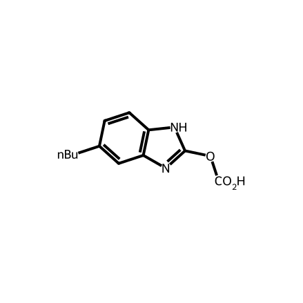 CCCCc1ccc2[nH]c(OC(=O)O)nc2c1